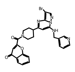 O=C(c1cc(=O)c2ccccc2o1)N1CCC(c2cc(NCc3cccnc3)n3ncc(Br)c3n2)CC1